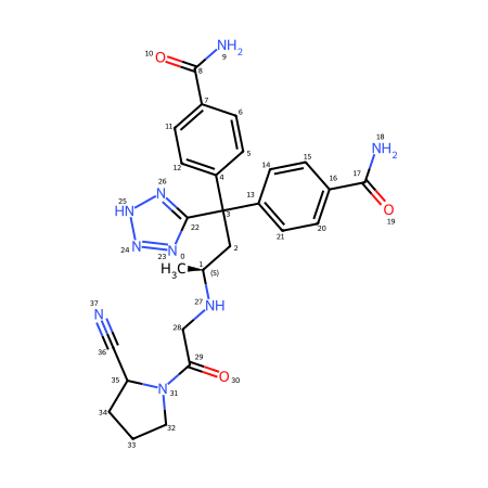 C[C@@H](CC(c1ccc(C(N)=O)cc1)(c1ccc(C(N)=O)cc1)c1nn[nH]n1)NCC(=O)N1CCCC1C#N